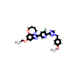 CCOc1cc2c3c(c1)nc(-c1cnc(-c4ncn(Cc5ccc(OC)cc5)n4)c(F)c1)n3CCCCO2